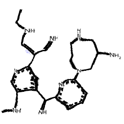 CCN/C=C(\C=N)c1cc(C(=N)c2cccc(N3CCNCC(N)C3)n2)c(NC)cn1